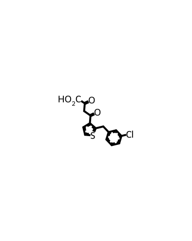 O=C(O)C(=O)CC(=O)c1ccsc1Cc1cccc(Cl)c1